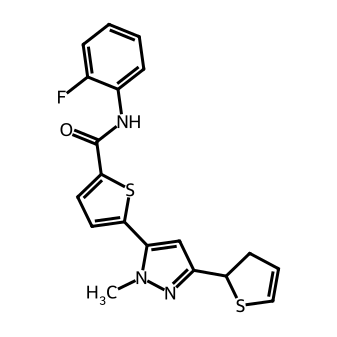 Cn1nc(C2CC=CS2)cc1-c1ccc(C(=O)Nc2ccccc2F)s1